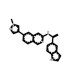 C=C(Nc1cc2cc(-c3cnn(C)c3)ccc2cn1)c1ccc2[nH]ccc2c1